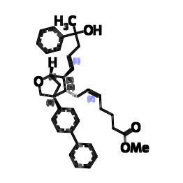 COC(=O)CCC/C=C\C[C@H]1[C@H](/C=C/CC(C)(O)c2ccccc2)[C@@H]2C[C@@]1(c1ccc(-c3ccccc3)cc1)CO2